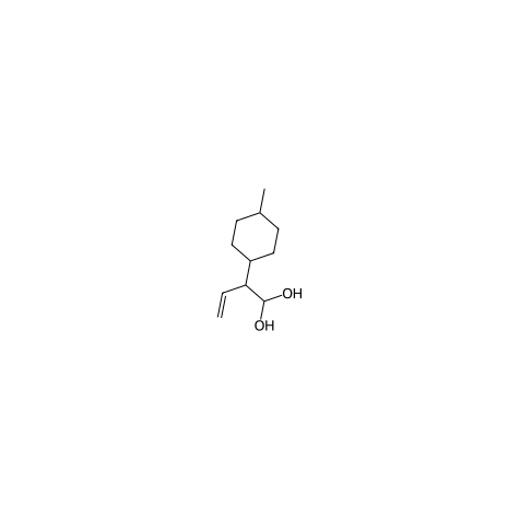 C=CC(C(O)O)C1CCC(C)CC1